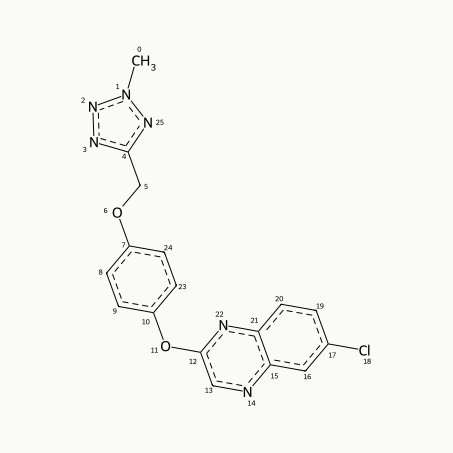 Cn1nnc(COc2ccc(Oc3cnc4cc(Cl)ccc4n3)cc2)n1